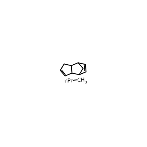 C1=CC2C3C=CC(C3)C2C1.CCCC